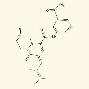 C=C(/C=C\C(C)=C(/C)F)[C@@H]1CC[C@@H](C)CN1C(=O)C(=O)Nc1cncc(C(N)=O)c1